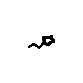 CCCc1cnsc1